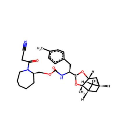 Cc1ccc(C[C@H](NC(=O)OC[C@H]2CCCCCN2C(=O)CC#N)B2O[C@@H]3C[C@@H]4C[C@@H](C4(C)C)[C@]3(C)O2)cc1